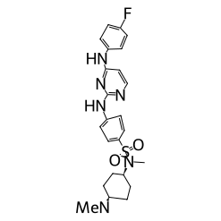 CN[C@H]1CC[C@@H](N(C)S(=O)(=O)c2ccc(Nc3nccc(Nc4ccc(F)cc4)n3)cc2)CC1